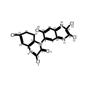 O=c1c(Cl)nc2c(n1-c1cc3nc(Cl)c(Cl)nc3cc1Cl)CCC(Cl)=C2